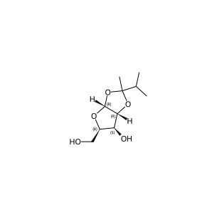 CC(C)C1(C)O[C@H]2O[C@H](CO)[C@H](O)[C@H]2O1